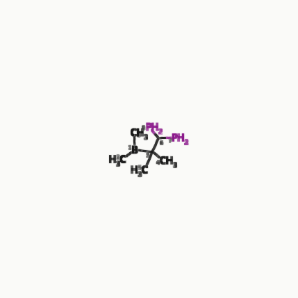 CB(C)C(C)(C)C(P)P